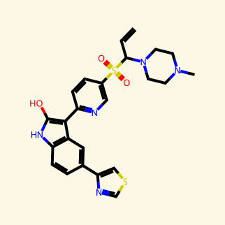 C=CC(N1CCN(C)CC1)S(=O)(=O)c1ccc(-c2c(O)[nH]c3ccc(-c4cscn4)cc23)nc1